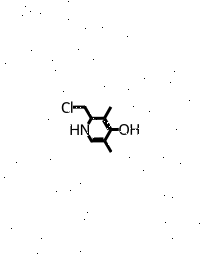 CC1=CNC(CCl)C(C)=C1O